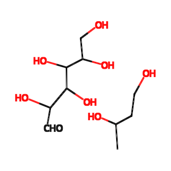 CC(O)CCO.O=CC(O)C(O)C(O)C(O)CO